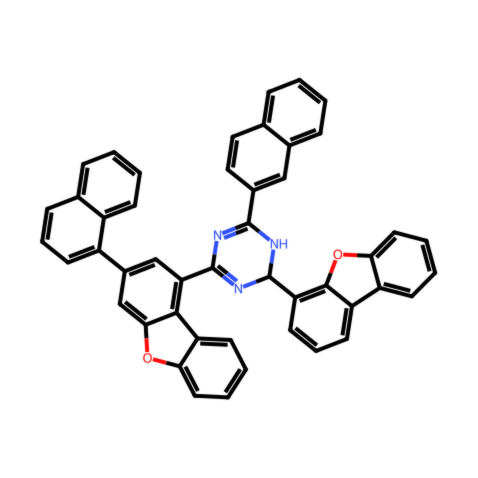 c1ccc2cc(C3=NC(c4cc(-c5cccc6ccccc56)cc5oc6ccccc6c45)=NC(c4cccc5c4oc4ccccc45)N3)ccc2c1